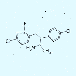 CC(N)C(Cc1ccc(Cl)cc1F)c1ccc(Cl)cc1